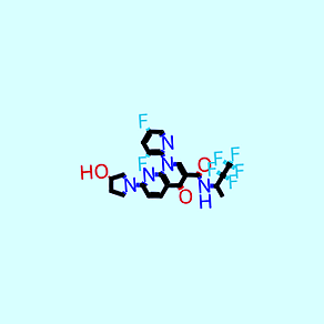 CC(NC(=O)c1cn(-c2ncc(F)cc2F)c2nc(N3CC[C@H](O)C3)ccc2c1=O)C(F)(F)C(F)(F)F